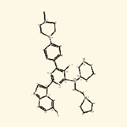 CN1CCN(c2ccc(-c3nc(-c4cnc5ccc(F)cn45)nc(N(CCN4CCCC4)[C@@H]4CCCNC4)c3F)cc2)CC1